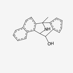 CC12NC(c3c1ccc1ccccc31)C(O)c1ccccc12